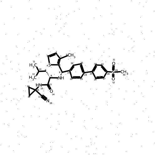 Cc1ccsc1[C@@H](N[C@@H](CC(C)C)C(=O)NC1(C#N)CC1)c1ccc(-c2ccc(S(C)(=O)=O)cc2)cc1